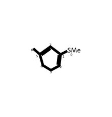 CSC1=CCCC(C)=C1